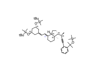 C[C@@H](C#Cc1ccccc1C(C)(C)O[Si](C)(C)C)[C@H]1CC[C@H]2/C(=C/C=C3C[C@@H](O[Si](C)(C)C(C)(C)C)C[C@H](O[Si](C)(C)C(C)(C)C)C3)CCC[C@]12C